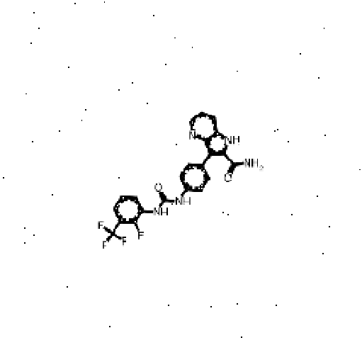 NC(=O)c1[nH]c2cccnc2c1-c1ccc(NC(=O)Nc2cccc(C(F)(F)F)c2F)cc1